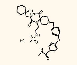 CNC(=O)c1ccc(Oc2ccc(CN3CCC4(CC3)C(=O)N[C@H](CC3(O)CCCCC3)C(=O)N4CCNS(C)(=O)=O)cc2)cc1.Cl